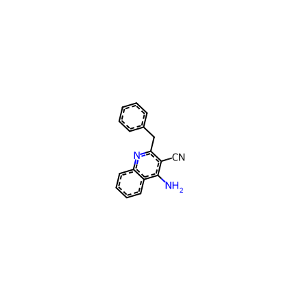 N#Cc1c(Cc2ccccc2)nc2ccccc2c1N